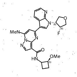 CNc1cc(-c2cn([C@@H]3COC[C@@H]3F)c3ncccc23)nc2c(C(=O)NC3CC[C@@H]3OC)cnn12